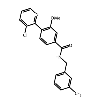 COc1cc(C(=O)NCc2cccc(C(F)(F)F)c2)ccc1-c1ncccc1Cl